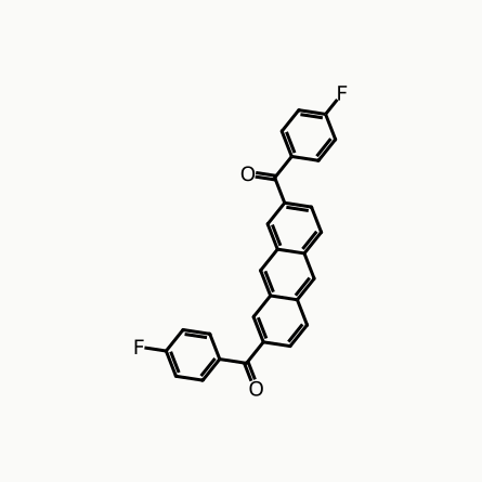 O=C(c1ccc(F)cc1)c1ccc2cc3ccc(C(=O)c4ccc(F)cc4)cc3cc2c1